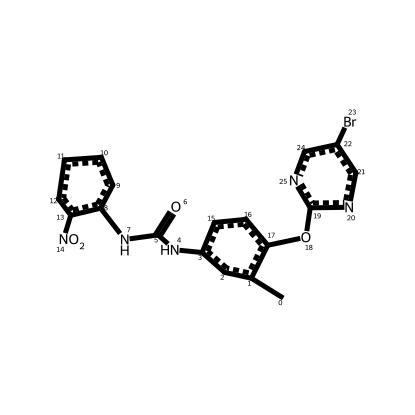 Cc1cc(NC(=O)Nc2ccccc2[N+](=O)[O-])ccc1Oc1ncc(Br)cn1